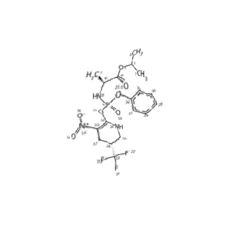 CC(C)OC(=O)[C@H](C)NP(=O)(OC1=C([N+](=O)[O-])C[C@@H](C(F)(F)F)CN1)Oc1ccccc1